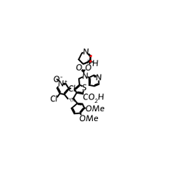 COc1ccc([C@H](Cc2c(Cl)c[n+]([O-])cc2Cl)c2cc(CN(C(=O)O[C@H]3CN4CCC3CC4)c3cccnc3)sc2C(=O)O)cc1OC